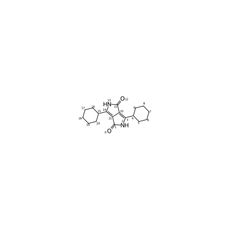 O=C1NC(C2CCCCC2)=C2C(=O)NC(C3CCCCC3)=C12